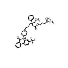 CCC(CCCN1CCC(NC(=O)c2ccccc2-c2ccc(C(F)(F)F)cc2)CC1)(CC(=O)OCCCN(C)C)c1ccccc1